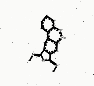 C/N=C1\N/C(=N\C)c2cc3c(cc21)nnc1ccccc13